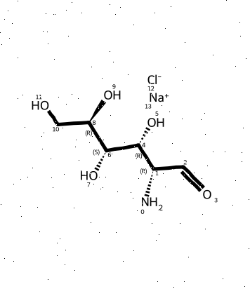 N[C@@H](C=O)[C@@H](O)[C@H](O)[C@H](O)CO.[Cl-].[Na+]